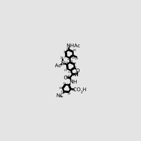 CC(=O)Nc1ccc(-c2cc3onc(C(=O)Nc4ccc(C#N)cc4C(=O)O)c3cc2N(C)C(C)=O)c(C)c1